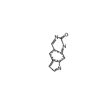 O=C1N=Cc2cc3c(cc2=N1)N=CC=3